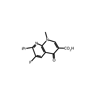 CC(C)c1nc2c(cc1F)c(=O)c(C(=O)O)cn2C